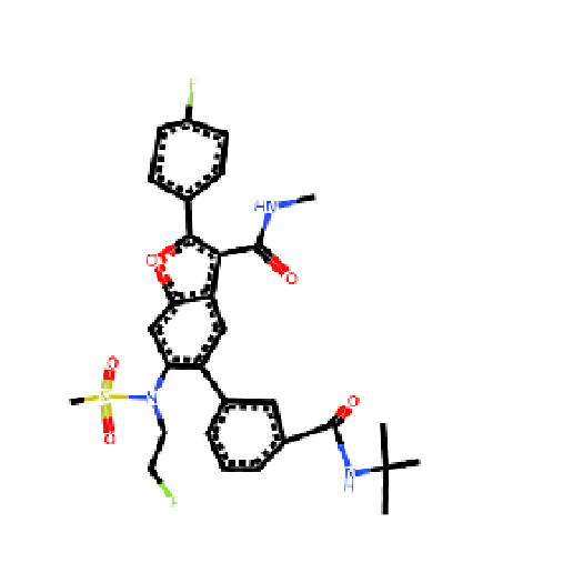 CNC(=O)c1c(-c2ccc(F)cc2)oc2cc(N(CCF)S(C)(=O)=O)c(-c3cccc(C(=O)NC(C)(C)C)c3)cc12